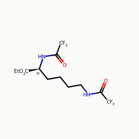 CCOC(=O)[C@H](CCCCNC(=O)C(F)(F)F)NC(=O)C(F)(F)F